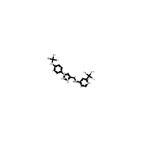 FC(F)(F)Oc1ccc(-n2cc(CNc3ccnc(C(F)(F)F)c3)nn2)cc1